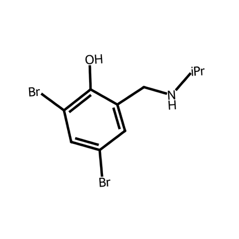 CC(C)NCc1cc(Br)cc(Br)c1O